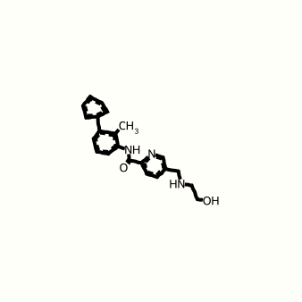 Cc1c(NC(=O)c2ccc(CNCCO)cn2)cccc1-c1ccccc1